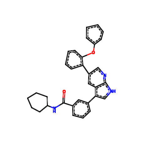 O=C(NC1CCCCC1)c1cccc(-c2c[nH]c3ncc(-c4ccccc4Oc4ccccc4)cc23)c1